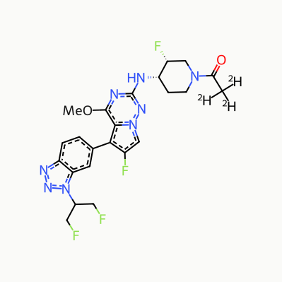 [2H]C([2H])([2H])C(=O)N1CC[C@H](Nc2nc(OC)c3c(-c4ccc5nnn(C(CF)CF)c5c4)c(F)cn3n2)[C@H](F)C1